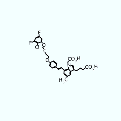 Cc1cc(/C=C/c2ccc(OCCCCOc3cc(F)cc(F)c3Cl)cc2)c2c(c1)c(CCCC(=O)O)cn2CC(=O)O